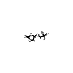 O=C1OCC(OCC(F)(F)F)O1